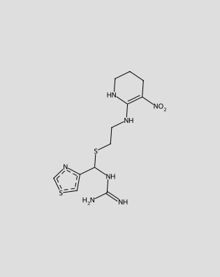 N=C(N)NC(SCCNC1=C([N+](=O)[O-])CCCN1)c1cscn1